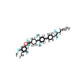 CCC/C=C/C(F)=C(\F)c1ccc(-c2cc(F)c(C3CCC(C(F)(F)Oc4cc(F)c(C(F)(F)F)c(F)c4)CC3)c(F)c2)cc1